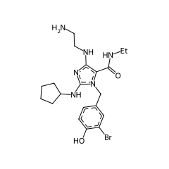 CCNC(=O)c1c(NCCN)nc(NC2CCCC2)n1Cc1ccc(O)c(Br)c1